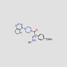 COc1ccc([C@@H](CNC(C)C)C(=O)N2CCN(c3ncnc4c3[C@H](C)CC4)CC2)cc1